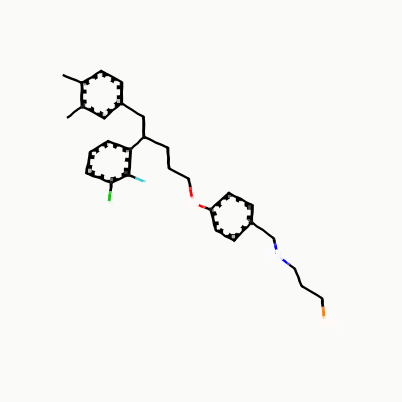 Cc1ccc(CC(CCCOc2ccc(CNCCCP)cc2)c2cccc(Cl)c2F)cc1C